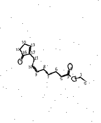 CCOC(=O)CCCC/C=C\CC1=CCCC1=O